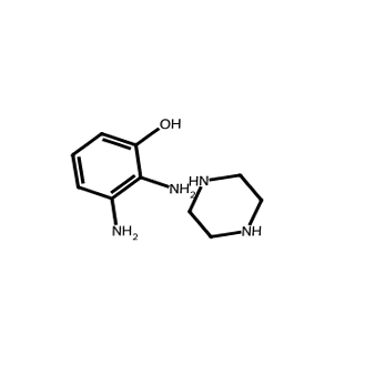 C1CNCCN1.Nc1cccc(O)c1N